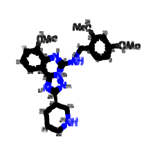 COc1ccc(CNc2nc3c(OC)cccc3c3nc([C@@H]4CCCNC4)nn23)c(OC)c1